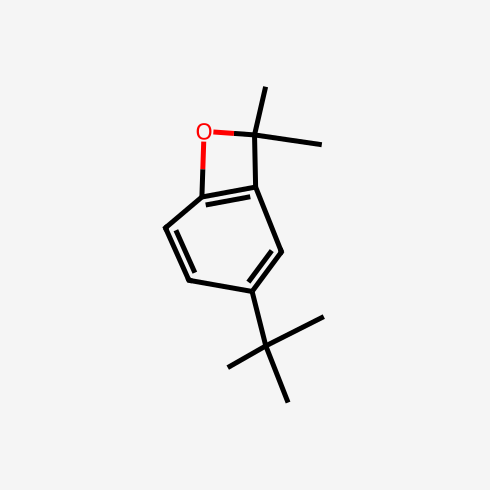 CC(C)(C)c1ccc2c(c1)C(C)(C)O2